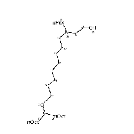 CCCCCCCCC(CCCCCCCC)OCCCCCCCCN(CCO)CCCCCC